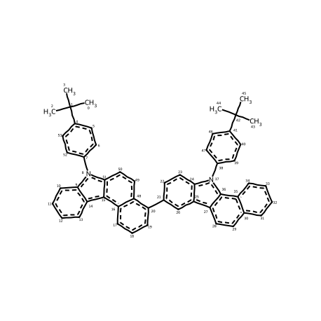 CC(C)(C)c1ccc(-n2c3ccccc3c3c4cccc(-c5ccc6c(c5)c5ccc7ccccc7c5n6-c5ccc(C(C)(C)C)cc5)c4ccc32)cc1